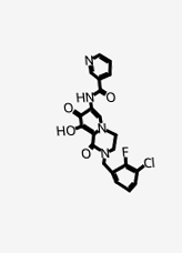 O=C(Nc1cn2c(c(O)c1=O)C(=O)N(Cc1cccc(Cl)c1F)CC2)c1cccnc1